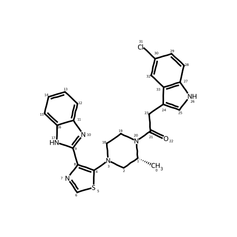 C[C@@H]1CN(c2scnc2-c2nc3ccccc3[nH]2)CCN1C(=O)Cc1c[nH]c2ccc(Cl)cc12